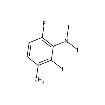 Cc1ccc(F)c(N(I)I)c1I